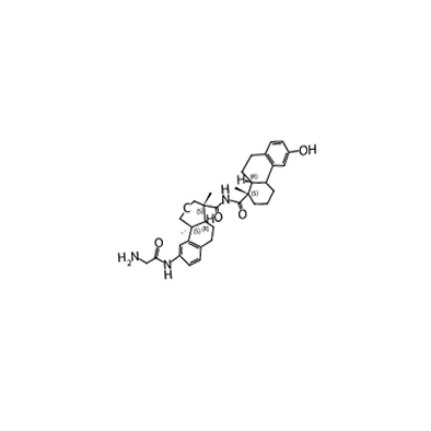 C[C@]1(C(=O)NC(=O)[C@@]2(C)CCC[C@]3(C)c4cc(NC(=O)CN)ccc4CC[C@@H]23)CCCC2c3cc(O)ccc3CC[C@H]21